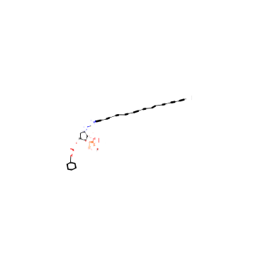 CC#CC#CC#CC#CC#CC#CC#CC#CC#CC#CNC(=S)N[C@H]1C[C@H](COC(=O)OCc2ccccc2)C(OP(=O)(O)OC)[C@@H]1OC